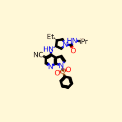 CC[C@@H]1CN(C(=O)NC(C)C)C[C@@H]1Nc1c(C#N)cnc2c1ccn2S(=O)(=O)c1ccccc1